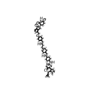 Cn1ncc(-c2nc(NC3CCC(NCC4CCN(CCNCc5ccc(OCc6scc7c6CN(C6CCC(=O)NC6=O)C7=O)cc5)CC4)CC3)ncc2Cl)c1CC1CC1